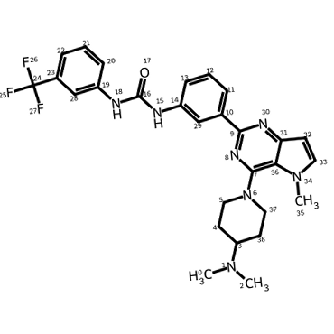 CN(C)C1CCN(c2nc(-c3cccc(NC(=O)Nc4cccc(C(F)(F)F)c4)c3)nc3ccn(C)c23)CC1